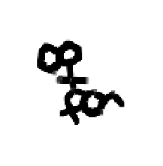 CSc1ncc2c(n1)N(S(=O)(=O)c1cccc3cccnc13)CC2(C)C